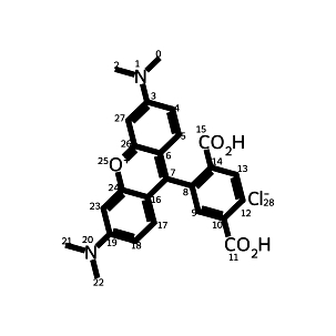 CN(C)c1ccc2c(-c3cc(C(=O)O)ccc3C(=O)O)c3ccc(N(C)C)cc3[o+]c2c1.[Cl-]